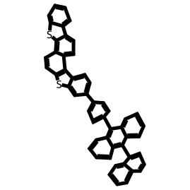 c1ccc2c(-c3c4ccccc4c(-c4ccc(-c5ccc6c(c5)sc5ccc7c(ccc8c9ccccc9sc87)c56)cc4)c4ccccc34)cccc2c1